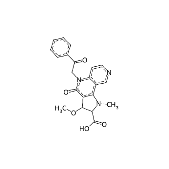 COC1c2c(c3cnccc3n(CC(=O)c3ccccc3)c2=O)N(C)C1C(=O)O